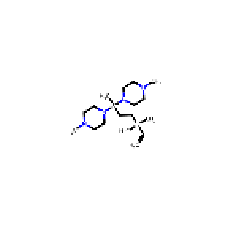 C=C[Si](C)(C)CC[Si](C)(N1CCN(C)CC1)N1CCN(C)CC1